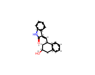 O=C1Nc2ccccc2C1=CC1CC(O)Cc2ccccc21